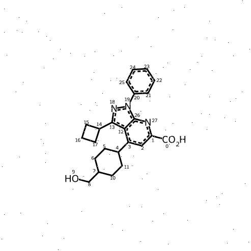 O=C(O)c1cc(C2CCC(CO)CC2)c2c(C3CCC3)nn(-c3ccccc3)c2n1